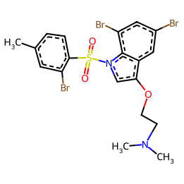 Cc1ccc(S(=O)(=O)n2cc(OCCN(C)C)c3cc(Br)cc(Br)c32)c(Br)c1